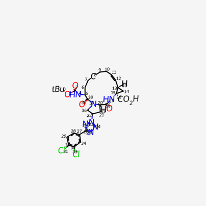 CC(C)(C)OC(=O)N[C@H]1CCCCC/C=C\[C@@H]2C[C@@]2(C(=O)O)NC(=O)[C@@H]2C[C@@H](n3nnc(-c4ccc(Cl)c(Cl)c4)n3)CN2C1=O